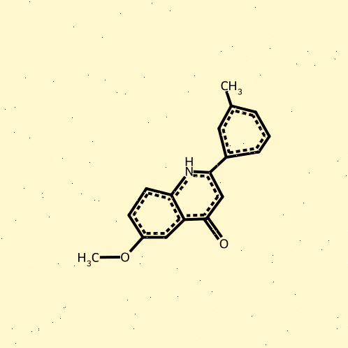 COc1ccc2[nH]c(-c3cccc(C)c3)cc(=O)c2c1